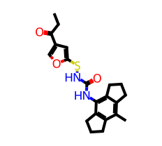 CCC(=O)c1coc(SNC(=O)Nc2c3c(c(C)c4c2CCC4)CCC3)c1